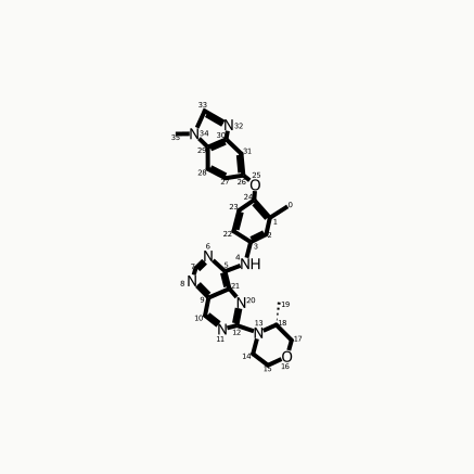 Cc1cc(Nc2ncnc3cnc(N4CCOC[C@H]4C)nc23)ccc1Oc1ccc2c(c1)ncn2C